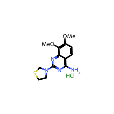 COc1ccc2c(N)nc(N3CCSC3)nc2c1OC.Cl